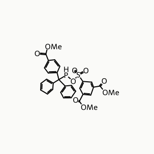 COC(=O)c1ccc(C(POS(=O)(=O)c2cc(C(=O)OC)cc(C(=O)OC)c2)(c2ccccc2)c2ccccc2)cc1